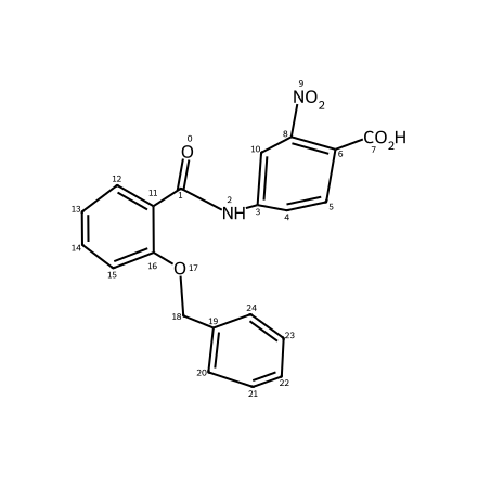 O=C(Nc1ccc(C(=O)O)c([N+](=O)[O-])c1)c1ccccc1OCc1ccccc1